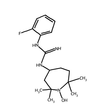 CC1(C)CCC(NC(=N)Nc2ccccc2F)CC(C)(C)N1O